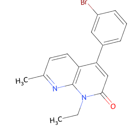 CCn1c(=O)cc(-c2cccc(Br)c2)c2ccc(C)nc21